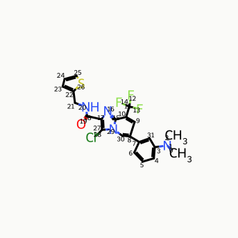 CN(C)c1cccc(-c2cc(C(F)(F)F)c3nc(C(=O)NCc4cccs4)c(Cl)n3c2)c1